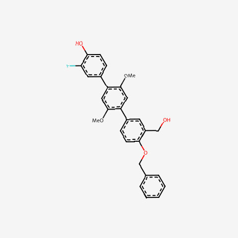 COc1cc(-c2ccc(OCc3ccccc3)c(CO)c2)c(OC)cc1-c1ccc(O)c(F)c1